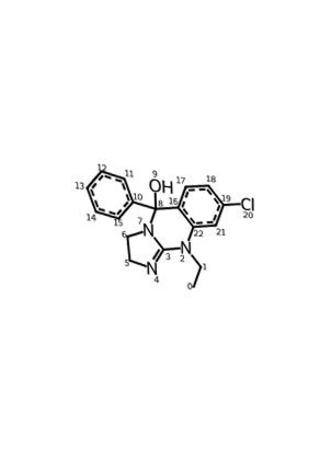 CCN1C2=NCCN2C(O)(c2ccccc2)c2ccc(Cl)cc21